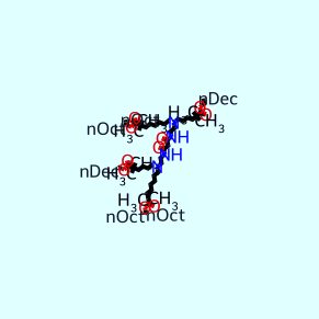 CCCCCCCCCCCOC(=O)C(C)(C)CCCCN(CCCCCCC(C)(C)C(=O)OC(CCCCCCCC)CCCCCCCC)CCNC(=O)CC(=O)NCCN(CCCCCCC(C)(C)C(=O)OC(CCCCCCCC)CCCCCCCC)CCCCC(C)(C)C(=O)OCCCCCCCCCCC